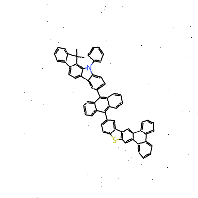 CC1(C)c2ccccc2-c2ccc3c4cc(-c5c6ccccc6c(-c6ccc7sc8cc9c%10ccccc%10c%10ccccc%10c9cc8c7c6)c6ccccc56)ccc4n(-c4ccccc4)c3c21